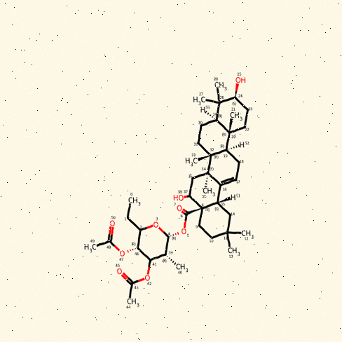 CCC1O[C@H](OC(=O)[C@]23CCC(C)(C)C[C@H]2C2=CC[C@@H]4[C@@]5(C)CC[C@H](O)C(C)(C)[C@@H]5CC[C@@]4(C)[C@]2(C)CC3O)[C@H](C)C(OC(C)=O)[C@@H]1OC(C)=O